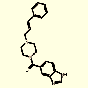 O=C(c1ccc2[nH]cnc2c1)N1CCN(CC=Cc2ccccc2)CC1